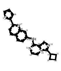 c1csc(-c2ccc3ccc(Nc4nccn5c(C6CCC6)ncc45)cc3n2)c1